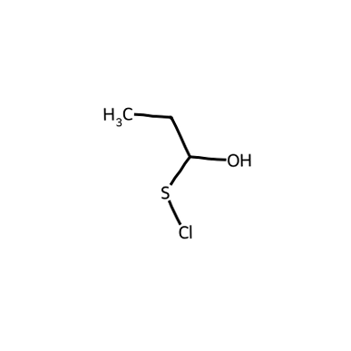 CCC(O)SCl